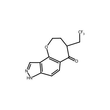 O=C1c2ccc3[nH]ncc3c2OCCC1CC(F)(F)F